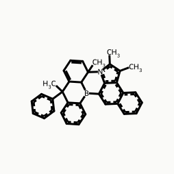 Cc1c(C)n2c3c(cc4ccccc4c13)B1c3ccccc3C(C)(c3ccccc3)C3=CC=CC2(C)C13